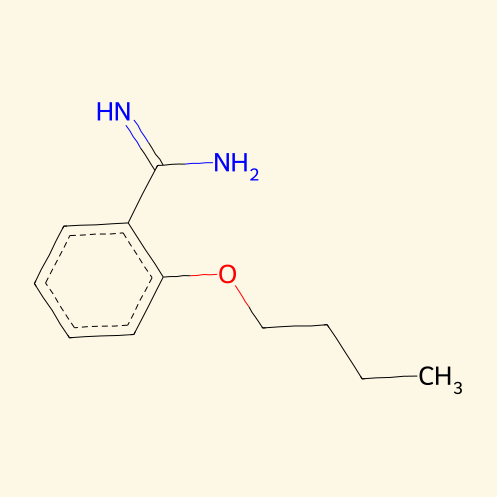 CCCCOc1ccccc1C(=N)N